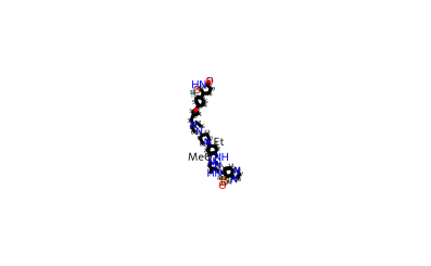 CCc1cc(Nc2ncc(C)c(Nc3ccc4nccnc4c3P(C)(C)=O)n2)c(OC)cc1N1CCC(N2CCN(CC3CC(c4ccc(C5CCC(=O)NC5=O)c(F)c4)C3)CC2)CC1